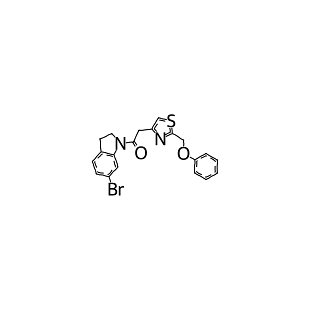 O=C(Cc1csc(COc2ccccc2)n1)N1CCc2ccc(Br)cc21